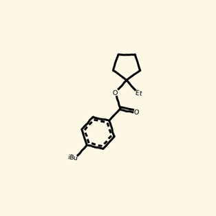 CCC(C)c1ccc(C(=O)OC2(CC)CCCC2)cc1